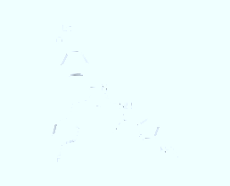 CCOc1ccc(-c2nc(NC(=O)c3ccc([N+](=O)[O-])s3)sc2Cc2ccc(F)cc2)cc1